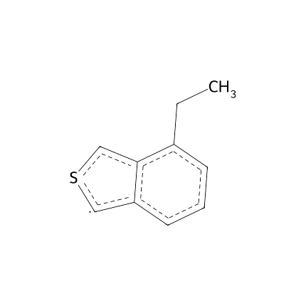 CCc1cccc2[c]scc12